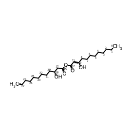 CCCCCCCCCC(O)=CC(=O)OC(=O)CC(O)CCCCCCCCC